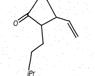 C=CC1CCC(=O)C1CCC(C)C